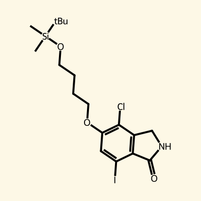 CC(C)(C)[Si](C)(C)OCCCCOc1cc(I)c2c(c1Cl)CNC2=O